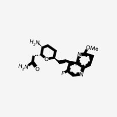 COc1ccc2ncc(F)c(C=C[C@@H]3CC[C@@H](N)[C@@H](CC(N)=O)O3)c2n1